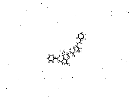 C[C@H](NC1CC(=O)OC1OCc1ccccc1)C(=O)NC(=O)c1nc(CCc2ccccc2)c[nH]1